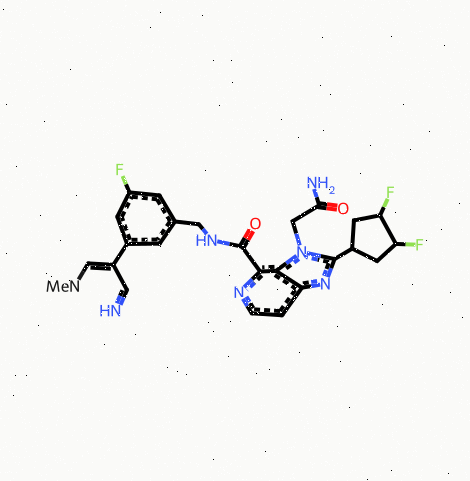 CN/C=C(\C=N)c1cc(F)cc(CNC(=O)c2nccc3nc(C4CC(F)C(F)C4)n(CC(N)=O)c23)c1